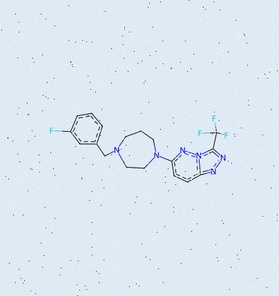 Fc1cccc(CN2CCCN(c3ccc4nnc(C(F)(F)F)n4n3)CC2)c1